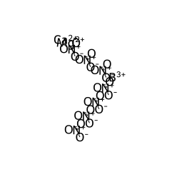 O=[N+]([O-])[O-].O=[N+]([O-])[O-].O=[N+]([O-])[O-].O=[N+]([O-])[O-].O=[N+]([O-])[O-].O=[N+]([O-])[O-].O=[N+]([O-])[O-].[B+3].[Ca+2].[Mg+2]